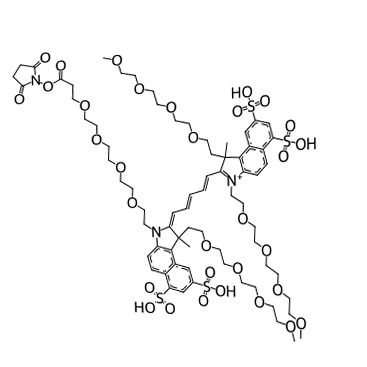 COCCOCCOCCOCC[N+]1=C(/C=C/C=C/C=C2/N(CCOCCOCCOCCOCCC(=O)ON3C(=O)CCC3=O)c3ccc4c(S(=O)(=O)O)cc(S(=O)(=O)O)cc4c3C2(C)CCOCCOCCOCCOC)C(C)(CCOCCOCCOCCOC)c2c1ccc1c(S(=O)(=O)O)cc(S(=O)(=O)O)cc21